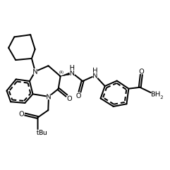 BC(=O)c1cccc(NC(=O)N[C@@H]2CN(C3CCCCC3)c3ccccc3N(CC(=O)C(C)(C)C)C2=O)c1